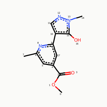 COC(=O)c1cc(C)nc(-c2cnn(C)c2O)c1